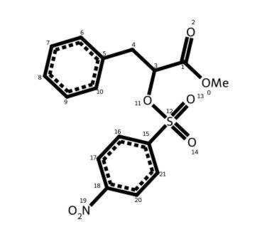 COC(=O)C(Cc1ccccc1)OS(=O)(=O)c1ccc([N+](=O)[O-])cc1